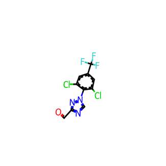 O=Cc1ncn(-c2c(Cl)cc(C(F)(F)F)cc2Cl)n1